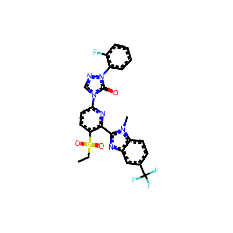 CCS(=O)(=O)c1ccc(-n2cnn(-c3ccccc3F)c2=O)nc1-c1nc2cc(C(F)(F)F)ccc2n1C